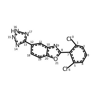 Clc1cccc(Cl)c1-c1nc2cc(-c3nn[nH]n3)ccc2o1